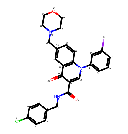 O=C(NCc1ccc(Cl)cc1)c1cn(-c2cccc(I)c2)c2ccc(CN3CCOCC3)cc2c1=O